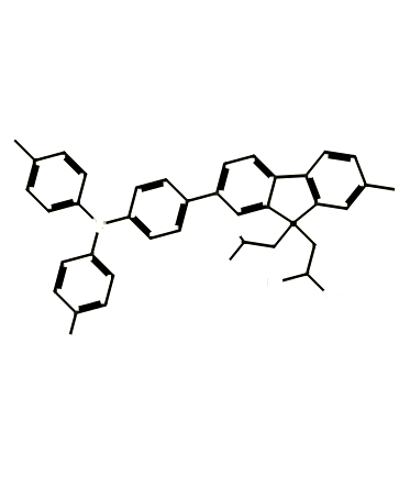 CCCCC(CC)CC1(CC(CC)CCCC)c2cc(C)ccc2-c2ccc(-c3ccc(N(c4ccc(C)cc4)c4ccc(O)cc4)cc3)cc21